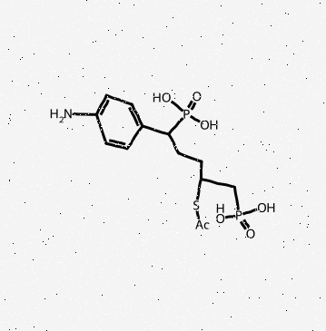 CC(=O)SC(CCC(c1ccc(N)cc1)P(=O)(O)O)CP(=O)(O)O